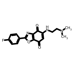 CN(C)CCNC1=CC(=O)c2oc(-c3ccc(F)cc3)nc2C1=O